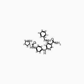 NC(=O)c1cnc(Nc2ccc(NC(=O)[C@@H]3CCCN3)cc2)cc1NCc1ccccc1